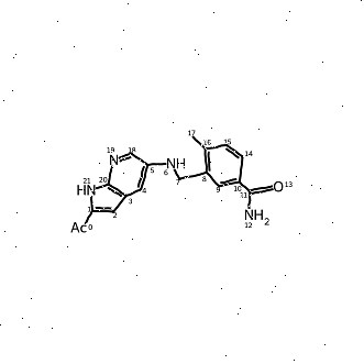 CC(=O)c1cc2cc(NCc3cc(C(N)=O)ccc3C)cnc2[nH]1